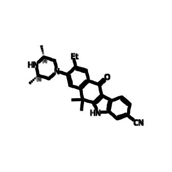 CCc1cc2c(cc1N1C[C@@H](C)N[C@@H](C)C1)C(C)(C)c1[nH]c3cc(C#N)ccc3c1C2=O